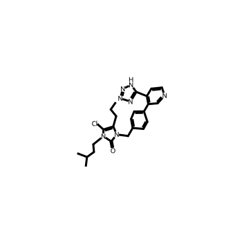 CCCc1c(Cl)n(CCC(C)C)c(=O)n1Cc1ccc(-c2cnccc2-c2nnn[nH]2)cc1